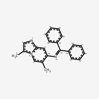 Cc1cn2c(C)cnc2cc1N=C(c1ccccc1)c1ccccc1